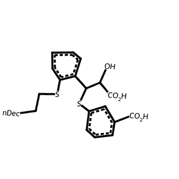 CCCCCCCCCCCCSc1ccccc1C(Sc1cccc(C(=O)O)c1)C(O)C(=O)O